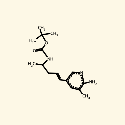 Cc1cc(C=CCC(C)NC(=O)OC(C)(C)C)cnc1N